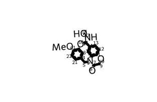 COc1ccc(CN2C(=O)COc3ccc(C(=O)NO)cc32)cc1